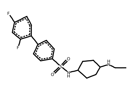 CCNC1CCC(NS(=O)(=O)c2ccc(-c3ccc(F)cc3F)cc2)CC1